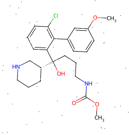 COC(=O)NCCCC(O)(c1cccc(Cl)c1-c1cccc(OC)c1)[C@@H]1CCCNC1